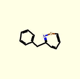 C1=CSN=C(Cc2ccccc2)C=C1